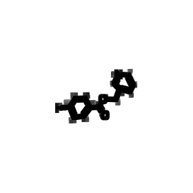 O=C(OCc1cccnc1)c1ccc(F)cc1